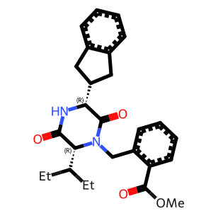 CCC(CC)[C@@H]1C(=O)N[C@H](C2Cc3ccccc3C2)C(=O)N1Cc1ccccc1C(=O)OC